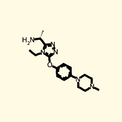 CCn1c(Oc2ccc(N3CCN(C)CC3)cc2)nnc1[C@@H](C)N